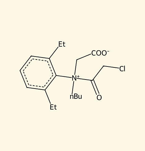 CCCC[N+](CC(=O)[O-])(C(=O)CCl)c1c(CC)cccc1CC